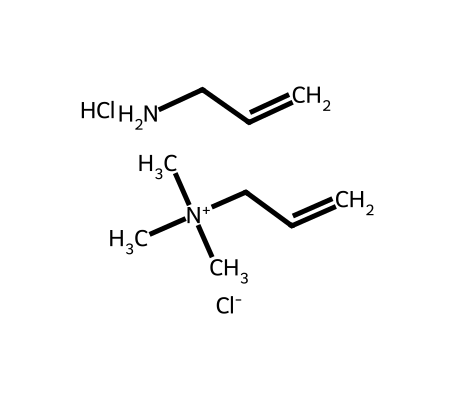 C=CCN.C=CC[N+](C)(C)C.Cl.[Cl-]